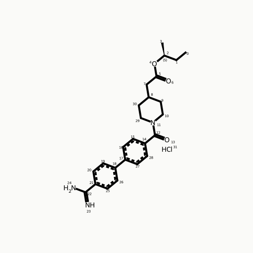 CC[C@H](C)OC(=O)CC1CCN(C(=O)c2ccc(-c3ccc(C(=N)N)cc3)cc2)CC1.Cl